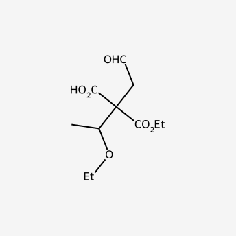 CCOC(=O)C(CC=O)(C(=O)O)C(C)OCC